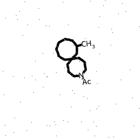 CC(=O)N1CCCC2(CCCCCCC(C)C2)CCC1